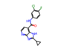 O=C(Nc1ccc(F)c(Cl)c1)c1ccnc2nc(C3CC3)[nH]c12